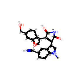 Cn1cc(C2=C(c3coc4cc(CO)ccc34)C(=O)NC2=O)c2cc(C#N)ccc21